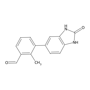 Cc1c(C=O)cccc1-c1ccc2[nH]c(=O)[nH]c2c1